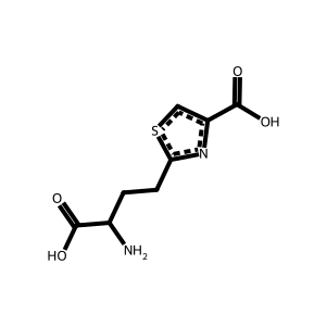 NC(CCc1nc(C(=O)O)cs1)C(=O)O